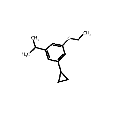 [CH2]C(C)c1cc(OCC)cc(C2CC2)c1